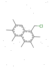 Cc1cc2c(CCl)c(C)c(C)c(C)c2c(C)c1C